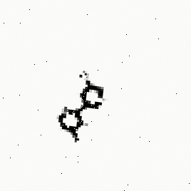 Cc1ccnc(-c2cncc(O)c2)c1